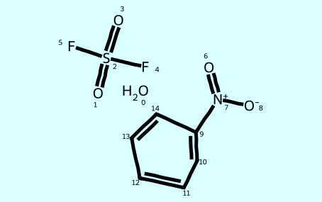 O.O=S(=O)(F)F.O=[N+]([O-])c1ccccc1